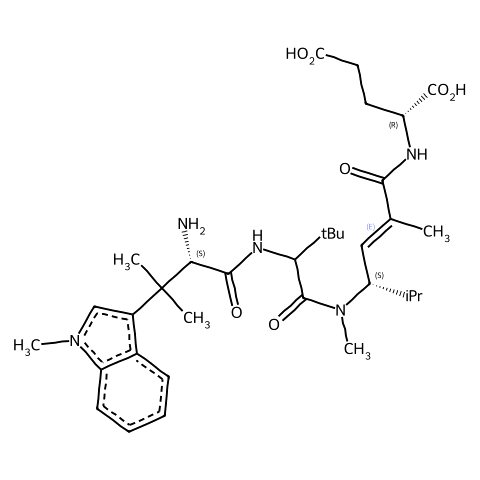 C/C(=C\[C@H](C(C)C)N(C)C(=O)C(NC(=O)[C@@H](N)C(C)(C)c1cn(C)c2ccccc12)C(C)(C)C)C(=O)N[C@H](CCC(=O)O)C(=O)O